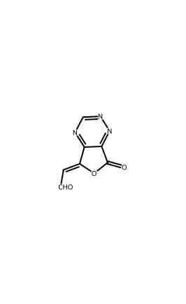 O=CC=C1OC(=O)c2nncnc21